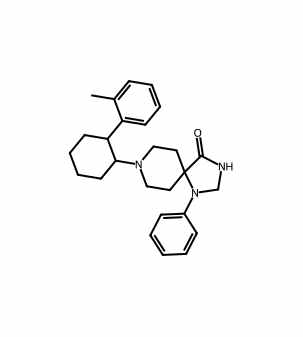 Cc1ccccc1C1CCCCC1N1CCC2(CC1)C(=O)NCN2c1ccccc1